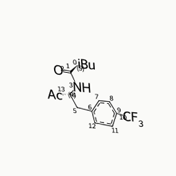 CC[C@H](C)C(=O)N[C@H](Cc1ccc(C(F)(F)F)cc1)C(C)=O